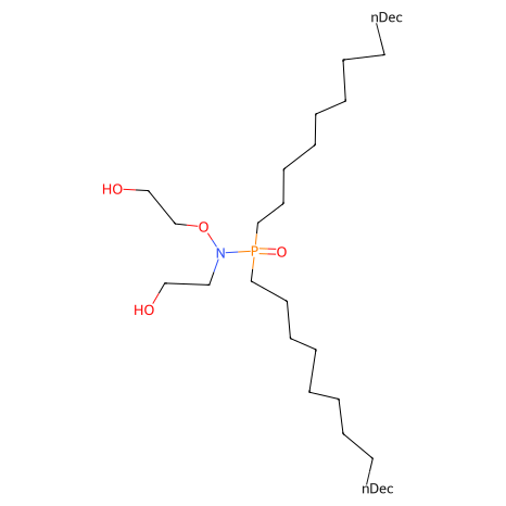 CCCCCCCCCCCCCCCCCCP(=O)(CCCCCCCCCCCCCCCCCC)N(CCO)OCCO